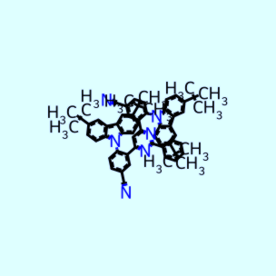 CC(C)(C)c1ccc2c(c1)c1cc(C(C)(C)C)ccc1n2-c1ccc(C#N)cc1-c1cc(-c2cc(C#N)ccc2-n2c3ccc(C(C)(C)C)cc3c3cc(C(C)(C)C)ccc32)nc(-c2ccccc2)n1